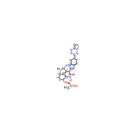 CC(O)C(=O)On1c(=O)c(-c2nc3ccc(N4CCN(C)CC4)cc3[nH]2)c([AsH2])c2c(F)cccc21